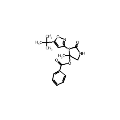 CC(C)(C)c1cc(N2C(=O)NCC2(C)OC(=O)c2ccccc2)no1